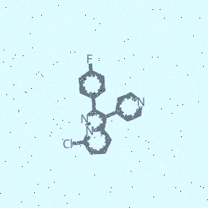 Fc1ccc(-c2nn3c(Cl)cccc3c2-c2ccncc2)cc1